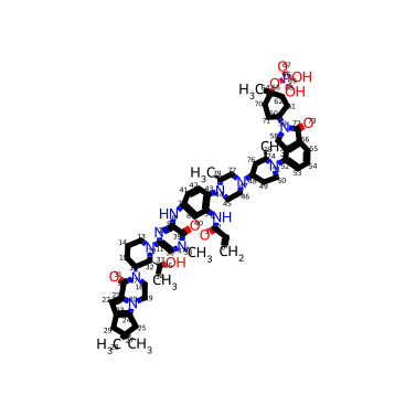 C=CC(=O)Nc1cc(Nc2nc(N3CCC[C@H](N4CCn5c(cc6c5CC(C)(C)C6)C4=O)[C@H]3C(C)O)cn(C)c2=O)ccc1N1CCN(C2CCN(c3cccc4c3CN(C3CCC(C)(OP(=O)(O)O)CC3)C4=O)[C@H](C)C2)C[C@@H]1C